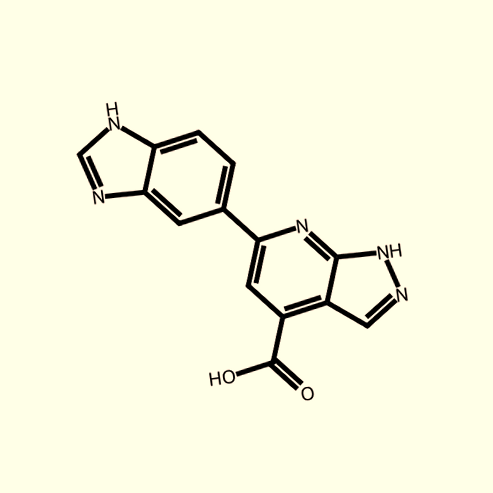 O=C(O)c1cc(-c2ccc3[nH]cnc3c2)nc2[nH]ncc12